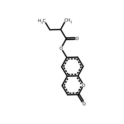 CCC(C)C(=O)Oc1ccc2oc(=O)ccc2c1